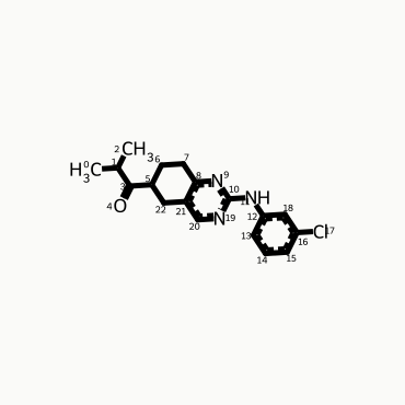 CC(C)C(=O)C1CCc2nc(Nc3cccc(Cl)c3)ncc2C1